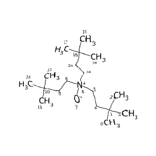 CC(C)(C)CC[N+]([O-])(CCC(C)(C)C)CCC(C)(C)C